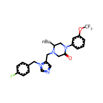 CCCCC1CN(c2cccc(OC(F)(F)F)c2)C(=O)CN1Cc1cncn1Cc1ccc(F)cc1